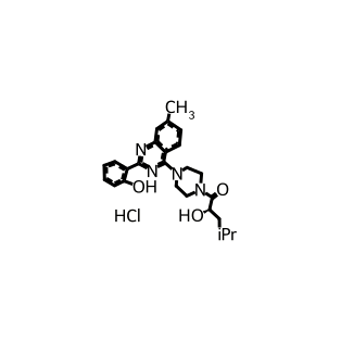 Cc1ccc2c(N3CCN(C(=O)[C@H](O)CC(C)C)CC3)nc(-c3ccccc3O)nc2c1.Cl